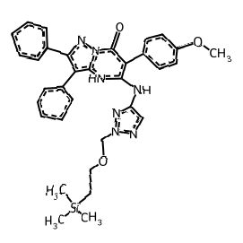 COc1ccc(-c2c(Nc3cnn(COCC[Si](C)(C)C)n3)[nH]c3c(-c4ccccc4)c(-c4ccccc4)nn3c2=O)cc1